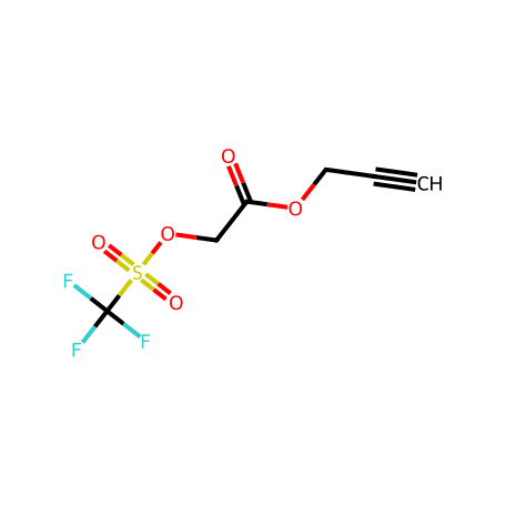 C#CCOC(=O)COS(=O)(=O)C(F)(F)F